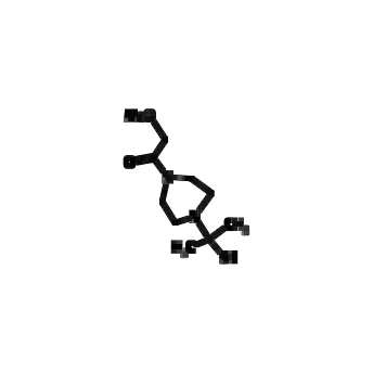 COCC(=O)N1CCN(C(C)(C)S)CC1